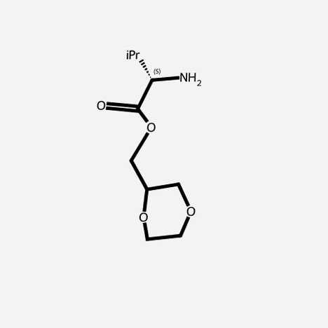 CC(C)[C@H](N)C(=O)OCC1COCCO1